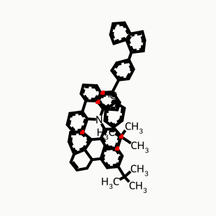 CC(C)(C)c1cc(C2CC=Cc3cccc(-c4ccccc4N(c4ccc(-c5ccc(-c6cccc7ccccc67)cc5)cc4)c4ccccc4-c4cccc5oc6ccccc6c45)c32)cc(C(C)(C)C)c1